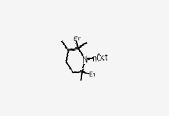 CCCCCCCCN1C(C)(CC)CCC(C)C1(C)CC